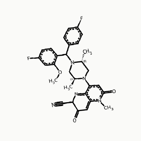 COc1cc(F)ccc1C(c1ccc(F)cc1)N1C[C@H](C)N(c2cc(=O)n(C)c3c2=NC(C#N)C(=O)C=3)C[C@H]1C